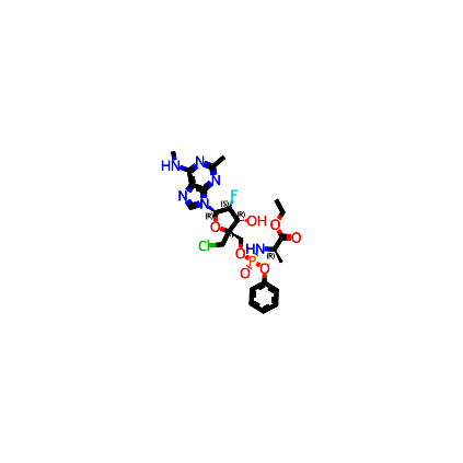 CCOC(=O)[C@@H](C)NP(=O)(OC[C@@]1(CCl)O[C@@H](n2cnc3c(NC)nc(C)nc32)[C@@H](F)[C@@H]1O)Oc1ccccc1